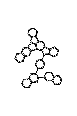 c1ccc2cc(-c3nc4ccccc4nc3-c3ccc(-n4c5ccccc5c5cc6c7ccccc7n7c8cc9ccccc9cc8c(c54)c67)cc3)ccc2c1